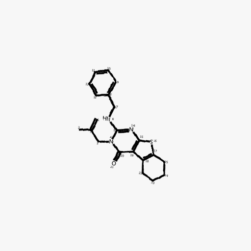 C=C(C)Cn1c(NCc2ccccc2)nc2sc3c(c2c1=O)CCCC3